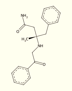 C[C@@](CC(N)=O)(Cc1ccccc1)NCC(=O)c1ccccc1